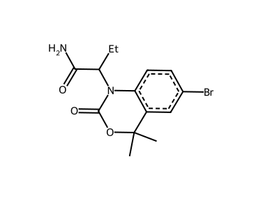 CCC(C(N)=O)N1C(=O)OC(C)(C)c2cc(Br)ccc21